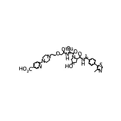 Cc1ncsc1-c1ccc([C@H](C)NC(=O)C2C[C@@H](O)CN2C(=O)[C@@H](NC(=O)COCCN2CCN(c3ccc(C(=O)O)cn3)CC2)C(C)(C)C)cc1